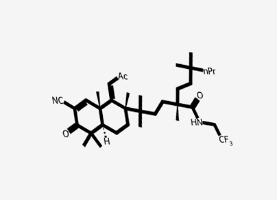 CCCC(C)(C)CC[C@@](C)(CCC(C)(C)[C@]1(C)CC[C@H]2C(C)(C)C(=O)C(C#N)=C[C@]2(C)/C1=C/C(C)=O)C(=O)NCC(F)(F)F